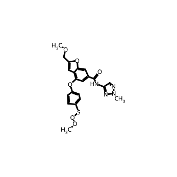 COCc1cc2c(Oc3ccc(SOOC)cc3)cc(C(=O)Nc3cnn(C)n3)cc2o1